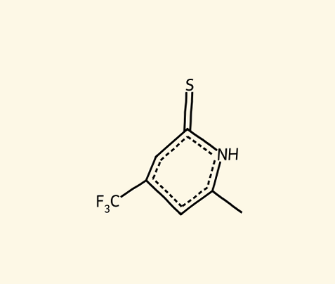 Cc1cc(C(F)(F)F)cc(=S)[nH]1